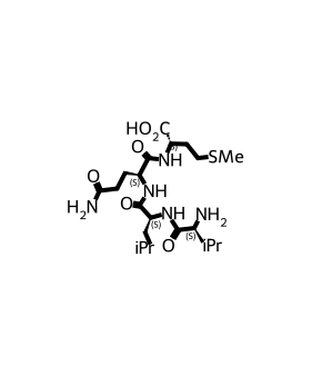 CSCC[C@H](NC(=O)[C@H](CCC(N)=O)NC(=O)[C@H](CC(C)C)NC(=O)[C@@H](N)C(C)C)C(=O)O